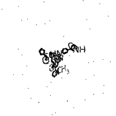 CN1CCCCC1c1cc2cnc(Nc3ccc(C4CNCCO4)cc3)nc2n(Cc2occc2[S+]([O-])C2CCCC2)c1=O